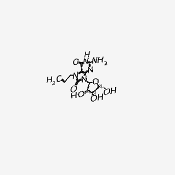 C=CCn1c(=O)n(C2O[C@H](CO)[C@@H](O)[C@H]2O)c2nc(N)[nH]c(=O)c21